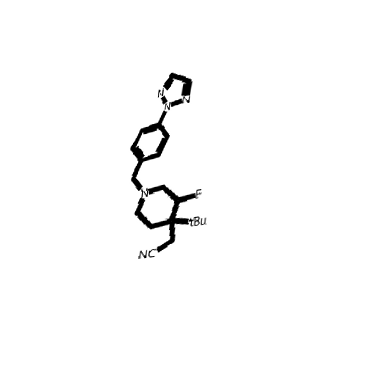 CC(C)(C)C1(CC#N)CCN(Cc2ccc(-n3nccn3)cc2)CC1F